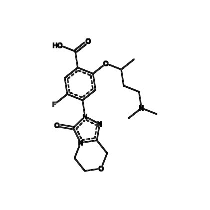 CC(CCN(C)C)Oc1cc(-n2nc3n(c2=O)CCOC3)c(F)cc1C(=O)O